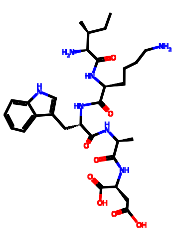 CC[C@H](C)[C@H](N)C(=O)N[C@@H](CCCCN)C(=O)N[C@@H](Cc1c[nH]c2ccccc12)C(=O)N[C@@H](C)C(=O)N[C@@H](CC(=O)O)C(=O)O